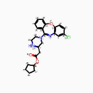 O=C(CC1CN(C2=Nc3cc(Cl)ccc3Oc3ccccc32)CCN1)OC1CCCC1